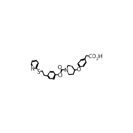 O=C(O)Cc1ccc(OC2CCN(C(=O)Oc3ccc(CCSc4ccccn4)cc3)CC2)cc1